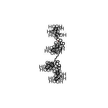 CC(CCCCCCCCCCCC(C)C1CCC2C3CCC4CC(O[C@@H]5OC(CO)[C@@H](O[C@H]6OC(CO)[C@@H](O)C(O)[C@@H]6O)C(O)[C@@H]5O)CCC4(C)C3CC(O[C@@H]3OC(CO)[C@@H](O[C@H]4OC(CO)[C@@H](O)C(O)[C@@H]4O)C(O)[C@@H]3O)C12C)C1CCC2C3CCC4CC(O[C@H]5OC(CO)[C@H](O[C@@H]6OC(CO)[C@H](O)C(O)[C@H]6O)C(O)[C@H]5O)CCC4(C)C3CC(O[C@H]3OC(CO)[C@H](O[C@@H]4OC(CO)[C@H](O)C(O)[C@H]4O)C(O)[C@H]3O)C12C